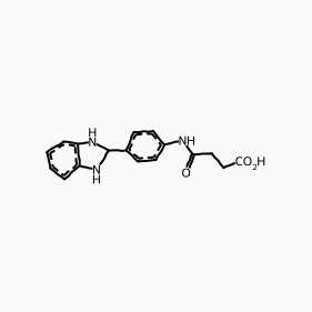 O=C(O)CCC(=O)Nc1ccc(C2Nc3ccccc3N2)cc1